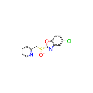 [O-][S+](Cc1ccccn1)c1nc2cc(Cl)ccc2o1